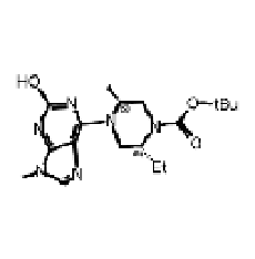 CC[C@@H]1CN(c2nc(O)nc3c2ncn3C)[C@@H](C)CN1C(=O)OC(C)(C)C